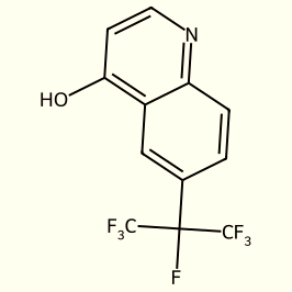 Oc1ccnc2ccc(C(F)(C(F)(F)F)C(F)(F)F)cc12